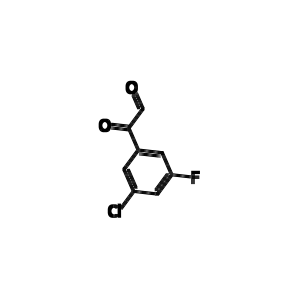 O=CC(=O)c1cc(F)cc(Cl)c1